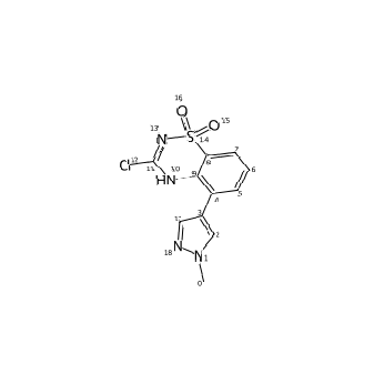 Cn1cc(-c2cccc3c2NC(Cl)=NS3(=O)=O)cn1